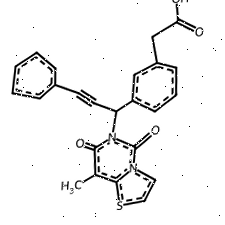 Cc1c(=O)n(C(C#Cc2ccccc2)c2cccc(CC(=O)O)c2)c(=O)n2ccsc12